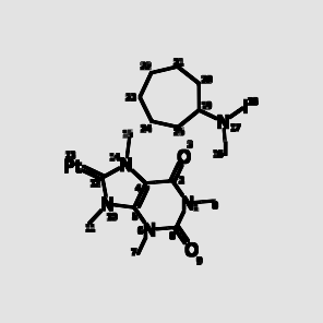 Cn1c(=O)c2c(n(C)c1=O)n(C)[c](=[Pt])n2C.IN(I)C1CCCCCC1